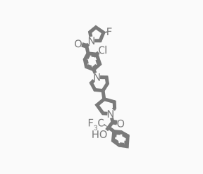 O=C(c1ccc(N2CCC(C3CCN(C(=O)[C@](O)(c4ccccc4)C(F)(F)F)CC3)CC2)cc1Cl)N1CC[C@H](F)C1